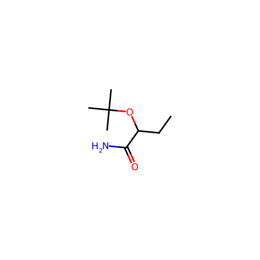 CCC(OC(C)(C)C)C(N)=O